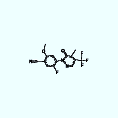 COc1cc(-n2ncc(C(F)(F)F)c(C)c2=O)c(F)cc1C#N